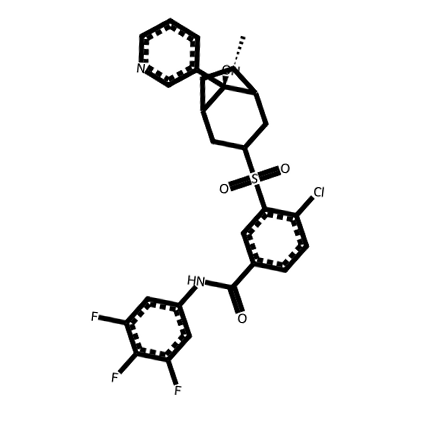 C[C@H]1CC2CC(S(=O)(=O)c3cc(C(=O)Nc4cc(F)c(F)c(F)c4)ccc3Cl)CC1[C@@]2(O)c1cccnc1